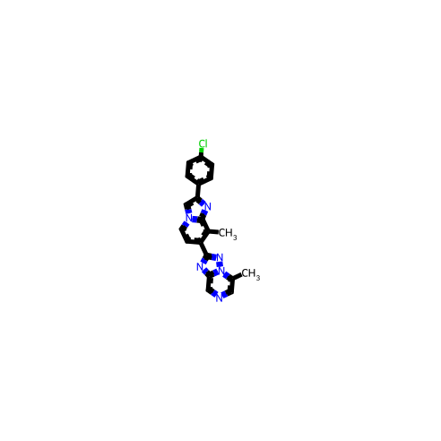 Cc1c(-c2nc3cncc(C)n3n2)ccn2cc(-c3ccc(Cl)cc3)nc12